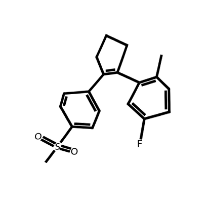 Cc1ccc(F)cc1C1=C(c2ccc(S(C)(=O)=O)cc2)CCC1